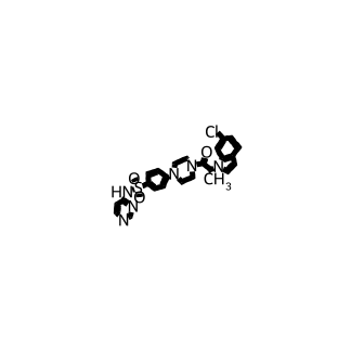 C[C@H](C(=O)N1CCN(c2ccc(S(=O)(=O)Nc3ccncn3)cc2)CC1)n1ccc2ccc(Cl)cc21